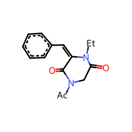 CCN1C(=O)CN(C(C)=O)C(=O)/C1=C\c1ccccc1